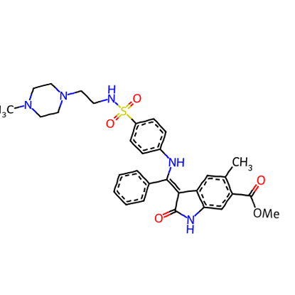 COC(=O)c1cc2c(cc1C)/C(=C(\Nc1ccc(S(=O)(=O)NCCN3CCN(C)CC3)cc1)c1ccccc1)C(=O)N2